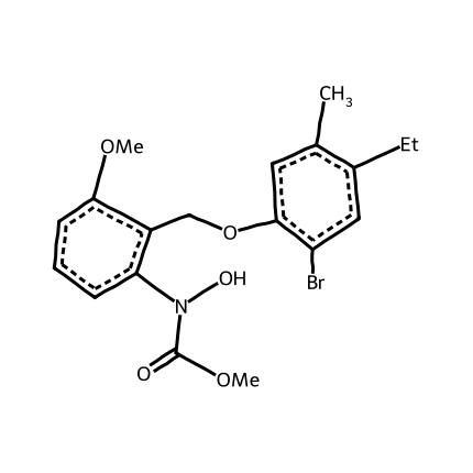 CCc1cc(Br)c(OCc2c(OC)cccc2N(O)C(=O)OC)cc1C